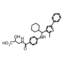 Cc1sc(-c2ccccc2)cc1C(Nc1ccc(C(=O)NCC(O)C(=O)O)cc1)C1CCCCC1